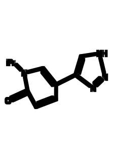 CC(C)n1cc(-c2c[nH]nn2)ccc1=O